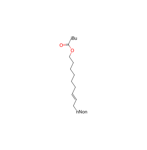 CCCCCCCCCCC=CCCCCCCOC(=O)C(C)CC